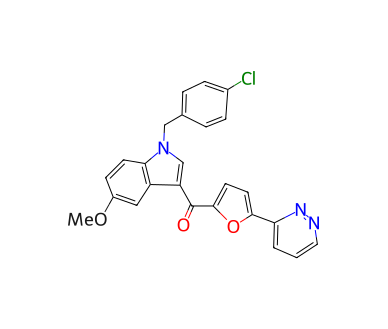 COc1ccc2c(c1)c(C(=O)c1ccc(-c3cccnn3)o1)cn2Cc1ccc(Cl)cc1